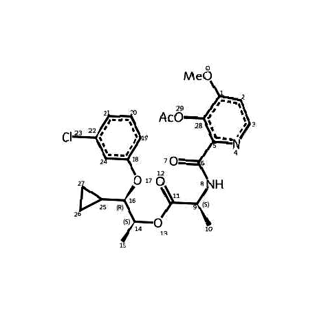 COc1ccnc(C(=O)N[C@@H](C)C(=O)O[C@@H](C)[C@H](Oc2cccc(Cl)c2)C2CC2)c1OC(C)=O